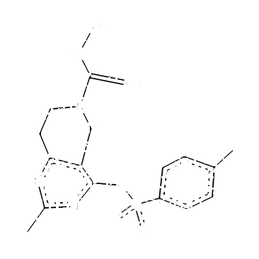 Cc1ccc(S(=O)(=O)Oc2nc(C)nc3c2CN(C(=O)OC(C)(C)C)CC3)cc1